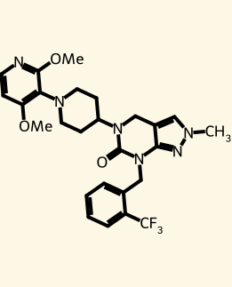 COc1ccnc(OC)c1N1CCC(N2Cc3cn(C)nc3N(Cc3ccccc3C(F)(F)F)C2=O)CC1